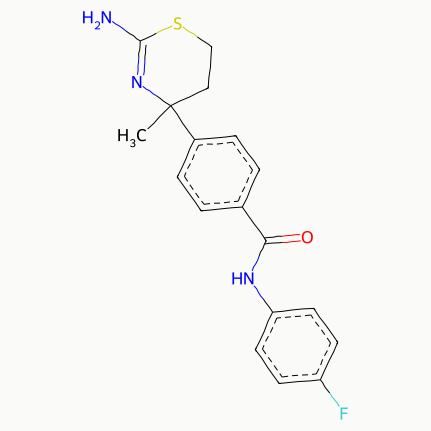 CC1(c2ccc(C(=O)Nc3ccc(F)cc3)cc2)CCSC(N)=N1